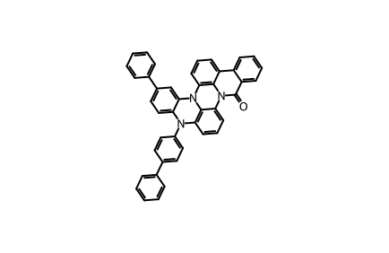 O=c1c2ccccc2c2cccc3c2n1c1cccc2c1-n3c1cc(-c3ccccc3)ccc1n2-c1ccc(-c2ccccc2)cc1